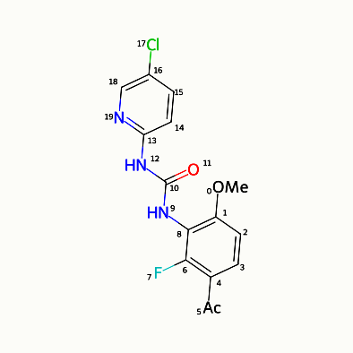 COc1ccc(C(C)=O)c(F)c1NC(=O)Nc1ccc(Cl)cn1